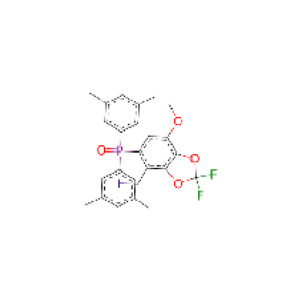 COc1cc(P(=O)(c2cc(C)cc(C)c2)c2cc(C)cc(C)c2)c(CI)c2c1OC(F)(F)O2